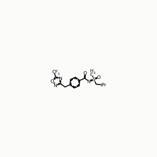 CC(C)CS(C)(=O)=NC(=O)c1ccc(Cc2noc(C(F)(F)F)n2)cc1